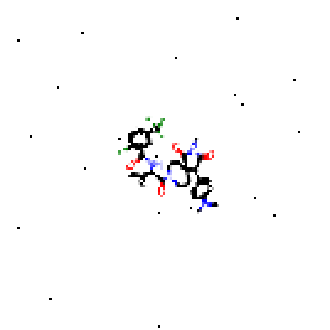 CC(C)[C@@H](NC(=O)c1cc(C(F)(F)F)ccc1F)C(=O)N1CCC2(CC1)C(=O)N(C)C(=O)C2c1ccc(N(C)C)cc1